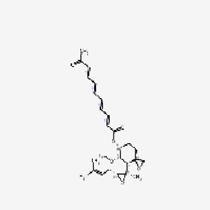 CO[C@@H]1[C@H](OC(=O)/C=C/C=C/C=C/C=C/C(C)=O)CC[C@]2(CO2)[C@H]1[C@@]1(C)O[C@@H]1CC=C(C)C